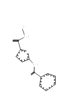 O=C(Nc1ccc(C(=O)NO)s1)c1ccccc1